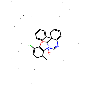 CC1CC=C(Cl)C2=C1[N+]1([O-])C=NC3=CC=CCC3(c3ccccc3)C1O2